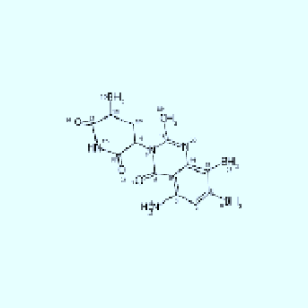 Bc1cc(N)c2c(=O)n(C3CC(B)C(=O)NC3=O)c(C)nc2c1B